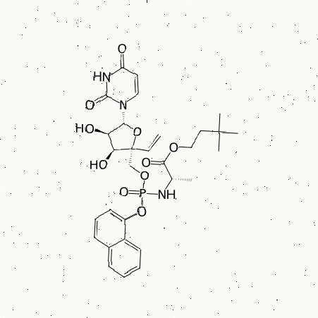 C=C[C@]1(COP(=O)(N[C@@H](C)C(=O)OCCC(C)(C)C)Oc2cccc3ccccc23)O[C@@H](n2ccc(=O)[nH]c2=O)[C@H](O)[C@@H]1O